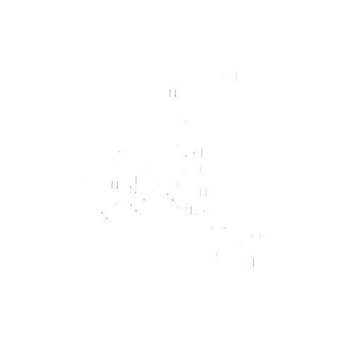 CCc1nc2ccc(-c3cn(COCC[Si](C)(C)C)c4nc(N5C6CCC5CC(NC(=O)OC(C)(C)C)C6)n(C)c(=O)c34)c(Cl)c2o1